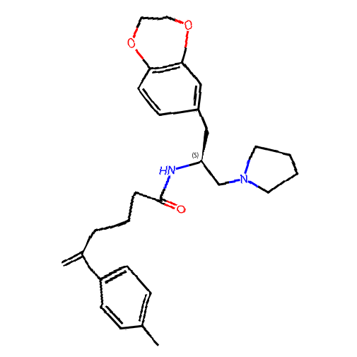 C=C(CCCC(=O)N[C@@H](Cc1ccc2c(c1)OCCO2)CN1CCCC1)c1ccc(C)cc1